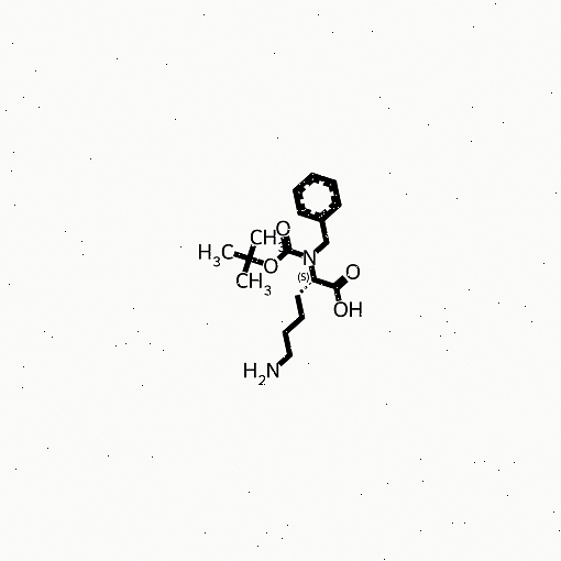 CC(C)(C)OC(=O)N(Cc1ccccc1)[C@@H](CCCCN)C(=O)O